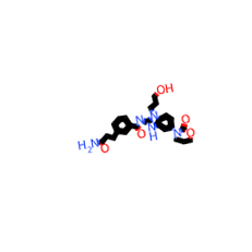 NC(=O)CCc1cccc(C(=O)/N=c2\[nH]c3cc(N4CCCOC4=O)ccc3n2CCCO)c1